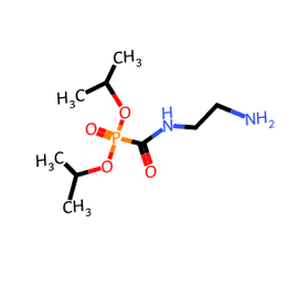 CC(C)OP(=O)(OC(C)C)C(=O)NCCN